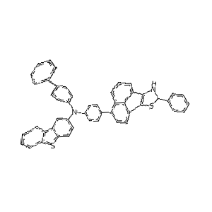 c1ccc(-c2ccc(N(c3ccc(-c4ccc5c6c(cccc46)C4=C5SC(c5ccccc5)N4)cc3)c3ccc4sc5ccccc5c4c3)cc2)cc1